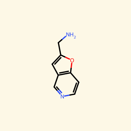 NCc1cc2cnccc2o1